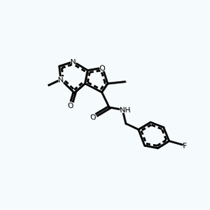 Cc1oc2ncn(C)c(=O)c2c1C(=O)NCc1ccc(F)cc1